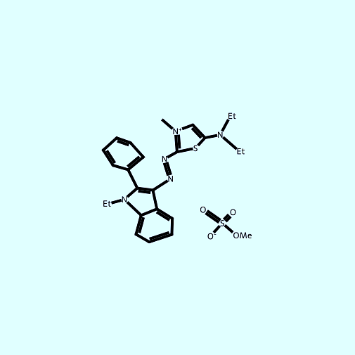 CCN(CC)c1c[n+](C)c(N=Nc2c(-c3ccccc3)n(CC)c3ccccc23)s1.COS(=O)(=O)[O-]